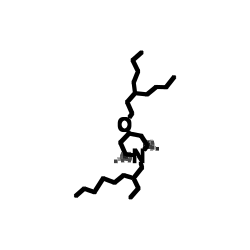 CCCCCCC(CC)CN1[C@H](C)CC(OCCC(CCCC)CCCC)C[C@@H]1C